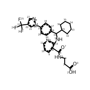 O=C(O)CCNC(=O)c1cccnc1NC(c1ccc(-n2cc(C(F)(F)F)cn2)cc1)C1CCCCC1